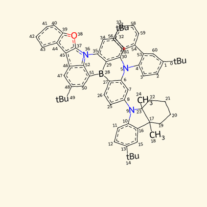 CC(C)(C)c1ccc(N2c3cc(N4c5ccc(C(C)(C)C)cc5C5(C)CCCCC45C)ccc3B3c4c2cc(C(C)(C)C)cc4-n2c4oc5ccccc5c4c4cc(C(C)(C)C)cc3c42)c(-c2ccccc2)c1